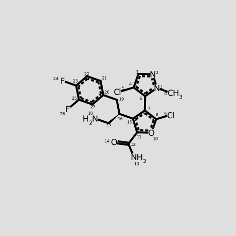 Cn1ncc(Cl)c1-c1c(Cl)oc(C(N)=O)c1[C@@H](CN)Cc1ccc(F)c(F)c1